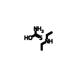 CCNCC.NC(O)=S